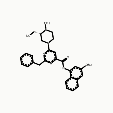 COc1cc(NC(=O)c2cc(N3CCN(C(=O)O)[C@@H](CC#N)C3)nc(Cc3ccccc3)n2)c2ccccc2c1